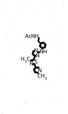 CC(=O)NCCc1cccc(Nc2nccc(-c3sc(-c4ccc(C)nc4)nc3C)n2)c1